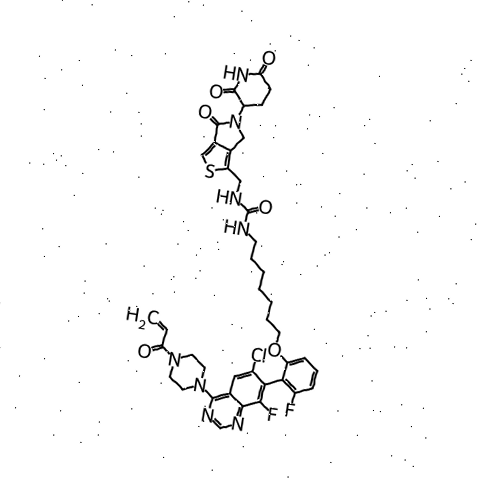 C=CC(=O)N1CCN(c2ncnc3c(F)c(-c4c(F)cccc4OCCCCCCCNC(=O)NCc4scc5c4CN(C4CCC(=O)NC4=O)C5=O)c(Cl)cc23)CC1